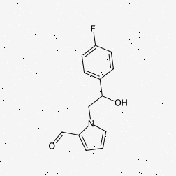 O=Cc1cccn1CC(O)c1ccc(F)cc1